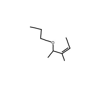 CC=C(C)C(C)OCCC